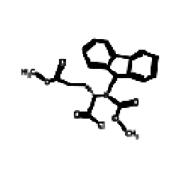 COC(=O)CC[C@@H](C(=O)Cl)N(C(=O)OC)C1c2ccccc2-c2ccccc21